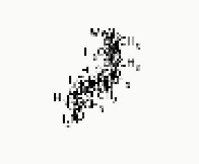 CNCC(=O)N(CC(=O)N(CC(=O)N(CC(=O)N(C)CC(=O)N(CC(=O)N(CC(=O)N(CC(=O)N(C)CC(=O)N(CC(N)=O)CC(C)O)CC(C)O)CC(C)O)CC(C)O)CC(C)O)CC(C)O)CC(C)O